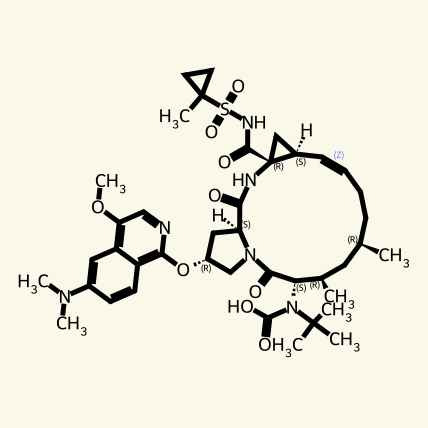 COc1cnc(O[C@@H]2C[C@H]3C(=O)N[C@]4(C(=O)NS(=O)(=O)C5(C)CC5)C[C@H]4/C=C\CC[C@@H](C)C[C@@H](C)[C@H](N(C(=O)O)C(C)(C)C)C(=O)N3C2)c2ccc(N(C)C)cc12